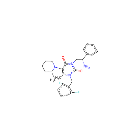 Cc1c(N2CCCCC2C)c(=O)n(C[C@@H](N)c2ccccc2)c(=O)n1Cc1c(F)cccc1F